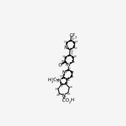 Cn1c2c(c3ccc(-n4ccc(-c5ccc(C(F)(F)F)cn5)cc4=O)nc31)CCN(C(=O)O)CC2